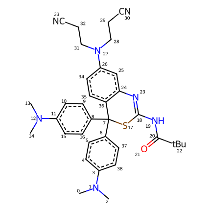 CN(C)c1ccc(C2(c3ccc(N(C)C)cc3)SC(NC(=O)C(C)(C)C)=Nc3cc(N(CCC#N)CCC#N)ccc32)cc1